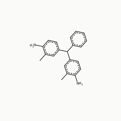 Cc1cc(C(c2ccccc2)c2ccc(N)c(C)c2)ccc1N